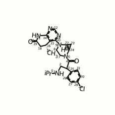 CC(C)NCC(C(=O)N1CCN(c2ncnc3c2[C@H](C)CC(=O)N3)[C@H]2C[C@H]21)c1ccc(Cl)cc1